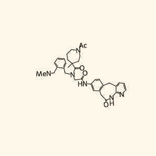 CNCc1ccccc1CN(CC(=O)Nc1ccc2c(c1)CC(=O)Nc1ncccc1C2)C(=O)C1(C)CCCN(C(C)=O)CC1